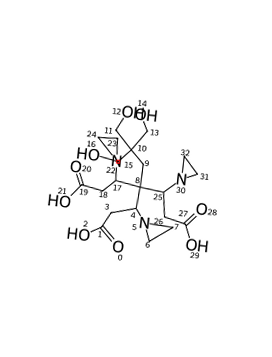 O=C(O)CC(N1CC1)C(CC(CO)(CO)CO)(C(CC(=O)O)N1CC1)C(CC(=O)O)N1CC1